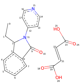 CCC1c2ccccc2C(=O)N1c1ccncc1.O=C(O)C=CC(=O)O